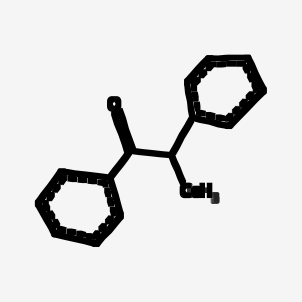 O=C(c1ccccc1)[CH]([GeH3])c1ccccc1